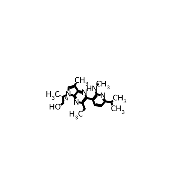 CCc1nc2c(nc1-c1ccc(C(C)C)nc1NC)c(C)cn2[C@@H](C)CO